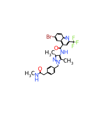 CNC(=O)Cc1ccc(Cn2nc(C)c(NC(=O)c3cc(C(F)(F)F)nc4ccc(Br)cc34)c2C)cc1